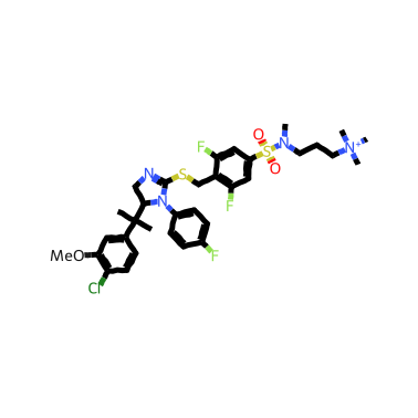 COc1cc(C(C)(C)C2CN=C(SCc3c(F)cc(S(=O)(=O)N(C)CCC[N+](C)(C)C)cc3F)N2c2ccc(F)cc2)ccc1Cl